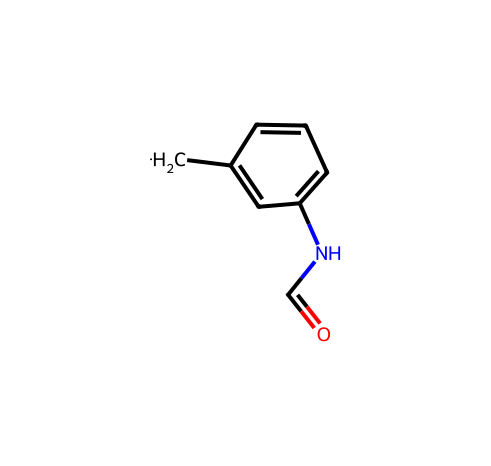 [CH2]c1cccc(NC=O)c1